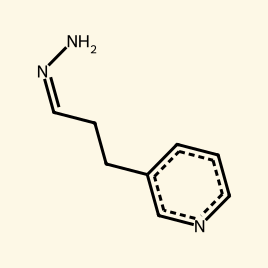 N/N=C\CCc1cccnc1